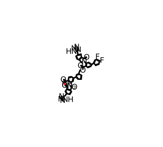 NC(=O)c1ccc(-c2cccc(COC(=O)c3ccc(-c4ccc(F)c(F)c4)cc3N3Cc4ccc(-c5nnn[nH]5)cc4C3=O)c2)cc1N1C(=O)c2ccc(-c3nnn[nH]3)cc2C1=O